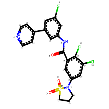 O=C(Nc1cc(Cl)cc(-c2ccncc2)c1)c1cc(N2CCCS2(=O)=O)cc(Cl)c1Cl